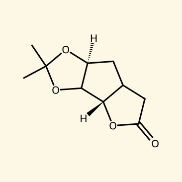 CC1(C)OC2[C@H]3OC(=O)CC3C[C@@H]2O1